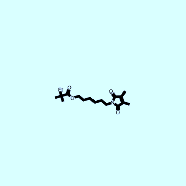 CCC(C)(C)C(=O)OCCCCCCN1C(=O)C(C)=C(C)C1=O